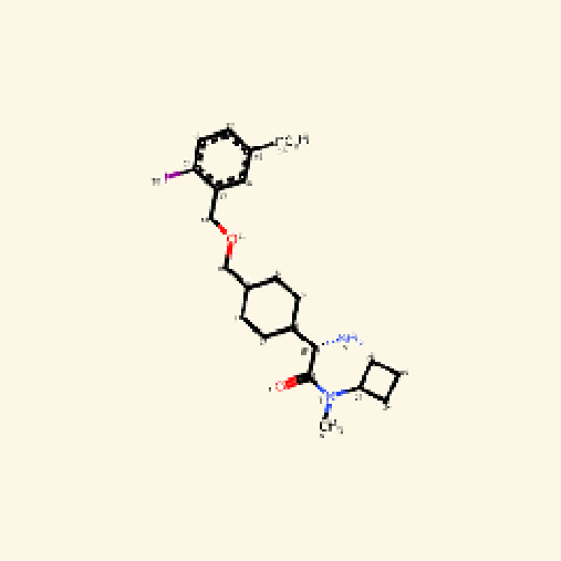 CN(C(=O)[C@@H](N)C1CCC(COCc2cc(C(=O)O)ccc2I)CC1)C1CCC1